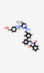 Cc1c(CNc2ncc([N+](=O)[O-])c(NC[C@H]3CC[C@H](CO)CC3)n2)cccc1-c1ccccc1CN1C(=O)c2ccccc2C1=O